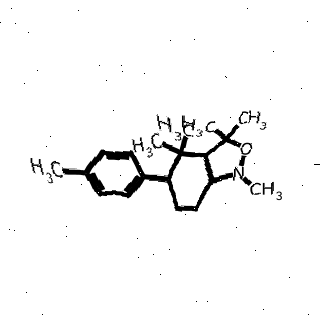 Cc1ccc(C2CCC3C(C(C)(C)ON3C)C2(C)C)cc1